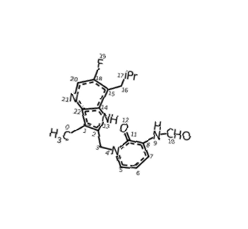 Cc1c(Cn2cccc(NC=O)c2=O)[nH]c2c(CC(C)C)c(F)cnc12